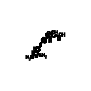 Nc1nc(N)c2cc(/C=C/c3ccc(C(=O)N[C@@H](CCC(=O)O)C(=O)O)cc3)cnc2n1